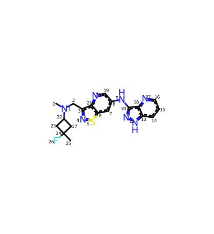 CN(Cc1nsc2cc(Nc3n[nH]c4cccnc34)cnc12)C1CC(C)(F)C1